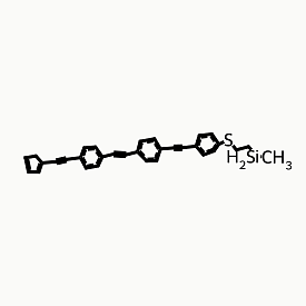 C[SiH2]CCSc1ccc(C#Cc2ccc(C#Cc3ccc(C#CC4=CC=CC4)cc3)cc2)cc1